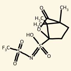 CC12CCC(S(=O)(O)=NS(=O)(=O)C(F)(F)F)(OC1=O)C2(C)C